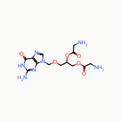 NCC(=O)OCC(COCn1cnc2c(=O)[nH]c(N)nc21)OC(=O)CN